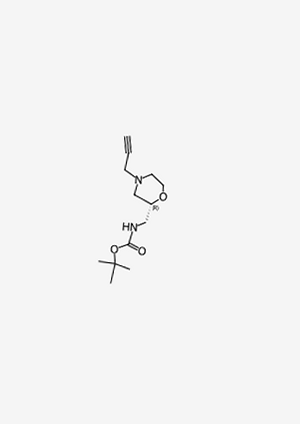 C#CCN1CCO[C@H](CNC(=O)OC(C)(C)C)C1